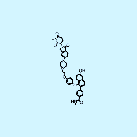 CNC(=O)c1ccc(-c2ccc3cc(O)ccc3c2Oc2ccc(OCCN3CCN(c4ccc5c(c4)CN(C4CCC(=O)NC4=O)C5=O)CC3)cc2)cc1